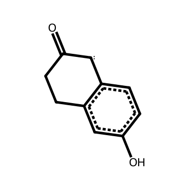 O=C1[C]c2ccc(O)cc2CC1